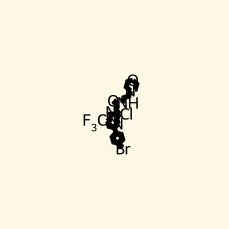 O=C(NCCN1CCOCC1)c1nn2c(C(F)(F)F)cc(-c3ccc(Br)cc3)nc2c1Cl